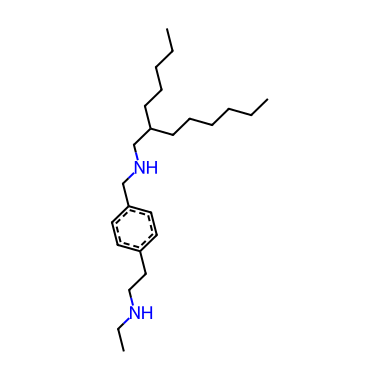 CCCCCCC(CCCCC)CNCc1ccc(CCNCC)cc1